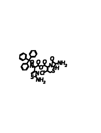 Nc1nc(/C(=N/OC(c2ccccc2)(c2ccccc2)c2ccccc2)C(=O)OC(=O)C2=C(Cl)CS[C@H]3C(N)C(=O)N23)cs1